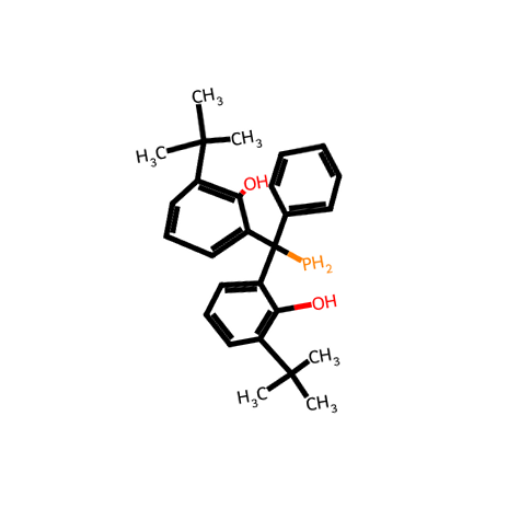 CC(C)(C)c1cccc(C(P)(c2ccccc2)c2cccc(C(C)(C)C)c2O)c1O